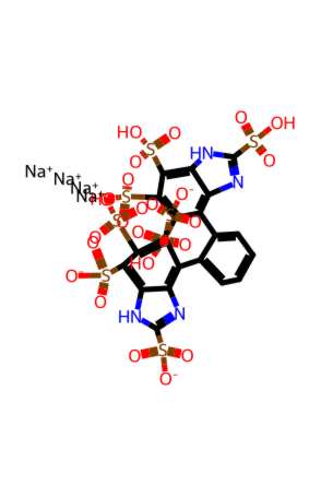 O=S(=O)([O-])c1nc2c(-c3ccccc3-c3c(S(=O)(=O)O)c(S(=O)(=O)O)c(S(=O)(=O)O)c4[nH]c(S(=O)(=O)O)nc34)c(S(=O)(=O)[O-])c(S(=O)(=O)[O-])c(S(=O)(=O)[O-])c2[nH]1.[Na+].[Na+].[Na+].[Na+]